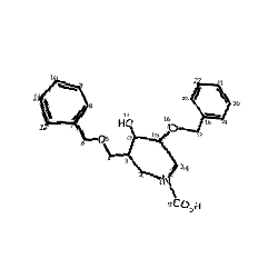 O=C(O)N1CC(COCc2ccccc2)C(O)C(OCc2ccccc2)C1